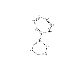 C1=CC=C(N2CCCCC2)NC=C1